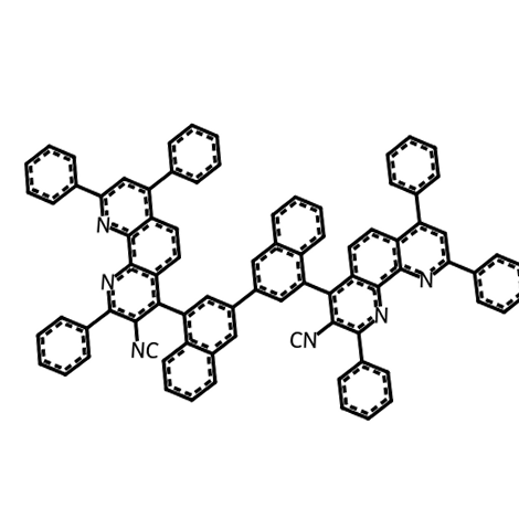 [C-]#[N+]c1c(-c2ccccc2)nc2c(ccc3c(-c4ccccc4)cc(-c4ccccc4)nc32)c1-c1cc(-c2cc(-c3c([N+]#[C-])c(-c4ccccc4)nc4c3ccc3c(-c5ccccc5)cc(-c5ccccc5)nc34)c3ccccc3c2)cc2ccccc12